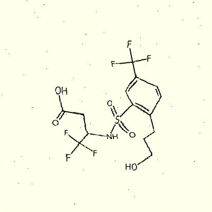 O=C(O)CC(NS(=O)(=O)c1cc(C(F)(F)F)ccc1CCCO)C(F)(F)F